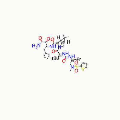 CC(C)[C@@H](CN(C)S(=O)(=O)c1cccs1)NC(=O)N[C@H](C(=O)N1C[C@H]2[C@@H]([C@H]1C(=O)NC(CC1CCC1)C(=O)C(N)=O)C2(C)C)C(C)(C)C